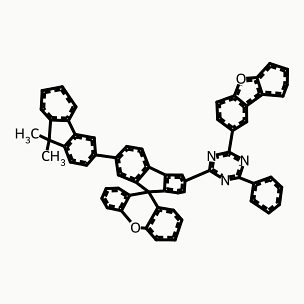 CC1(C)c2ccccc2-c2cc(-c3ccc4c(c3)C3(c5ccccc5Oc5ccccc53)c3ccc(-c5nc(-c6ccccc6)nc(-c6ccc7oc8ccccc8c7c6)n5)cc3-4)ccc21